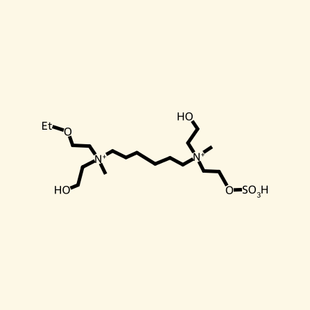 CCOCC[N+](C)(CCO)CCCCCC[N+](C)(CCO)CCOS(=O)(=O)O